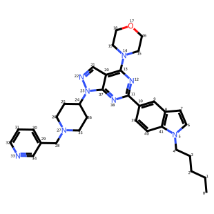 CCCCCn1ccc2cc(-c3nc(N4CCOCC4)c4cnn(C5CCN(Cc6cccnc6)CC5)c4n3)ccc21